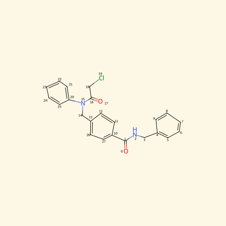 O=C(NCc1ccccc1)c1ccc(CN(C(=O)CCl)c2ccccc2)cc1